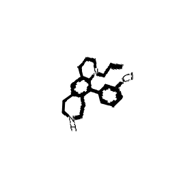 CCCN1CCCc2cc3c(c(-c4cccc(Cl)c4)c21)CCNCC3